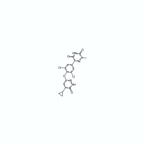 Cn1nc(-c2cc(Cl)c(Oc3cc(C4CC4)c(=O)[nH]n3)c(Cl)c2)c(=O)[nH]c1=O